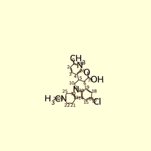 Cc1ccc(C(CC(=O)O)Cn2c3c(c4cc(Cl)ccc42)CCN(C)C3)cn1